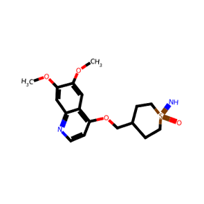 COc1cc2nccc(OCC3CCS(=N)(=O)CC3)c2cc1OC